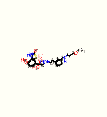 CCCOCCCNCc1cccc(CCNCC(O)(O)c2ccc(O)c3[nH]c(=O)sc23)c1